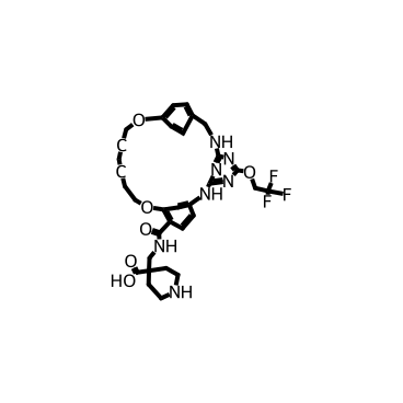 O=C(NCC1(C(=O)O)CCNCC1)c1ccc2cc1OCCCCCCOc1ccc(cc1)CNc1nc(nc(OCC(F)(F)F)n1)N2